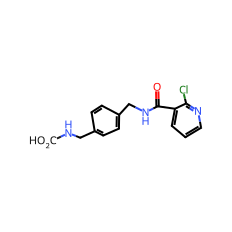 O=C(O)NCc1ccc(CNC(=O)c2cccnc2Cl)cc1